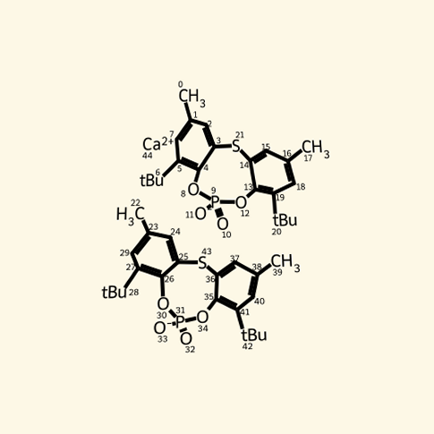 Cc1cc2c(c(C(C)(C)C)c1)OP(=O)([O-])Oc1c(cc(C)cc1C(C)(C)C)S2.Cc1cc2c(c(C(C)(C)C)c1)OP(=O)([O-])Oc1c(cc(C)cc1C(C)(C)C)S2.[Ca+2]